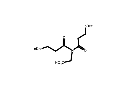 CCCCCCCCCCCCC(=O)N(CC(=O)O)C(=O)CCCCCCCCCCCC